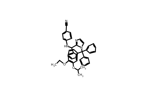 CCOc1cc(C(Nc2ccc(C#N)cc2)c2nccn2C(c2ccccc2)(c2ccccc2)c2ccccc2)ccc1OC(C)C